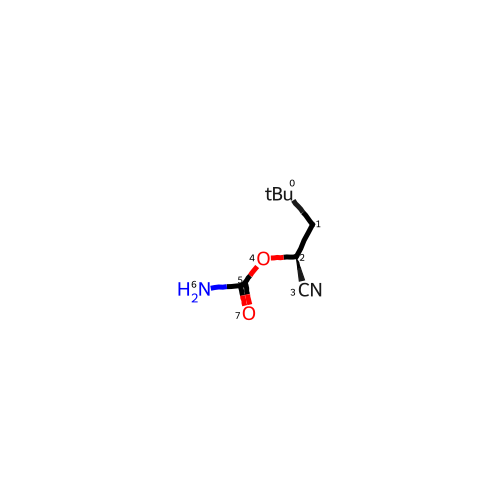 CC(C)(C)C[C@@H](C#N)OC(N)=O